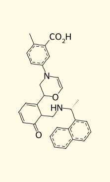 Cc1ccc(N2C=COC(C3=CC=CC(=O)C3CN[C@H](C)c3cccc4ccccc34)C2)cc1C(=O)O